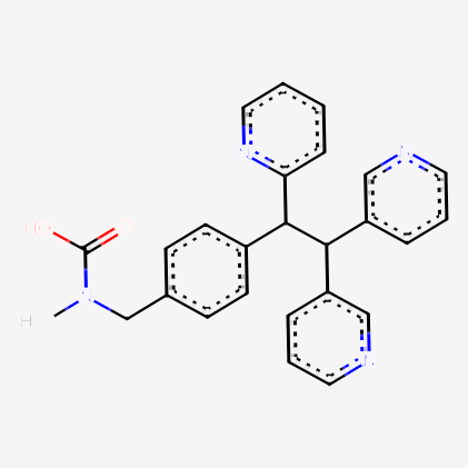 CN(Cc1ccc(C(c2ccccn2)C(c2cccnc2)c2cccnc2)cc1)C(=O)O